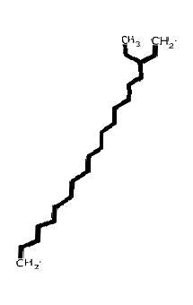 [CH2]CCCCCCCCCCCCCCCCC(C[CH2])CC